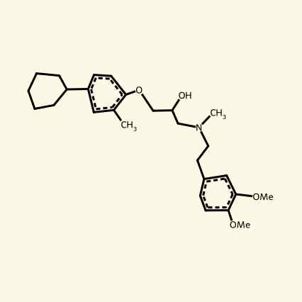 COc1ccc(CCN(C)CC(O)COc2ccc(C3CCCCC3)cc2C)cc1OC